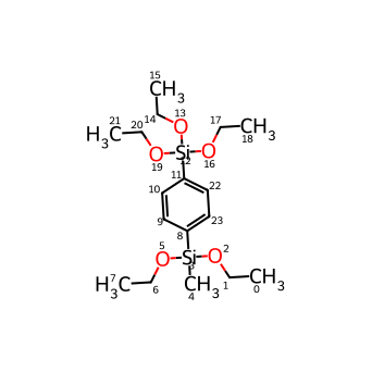 CCO[Si](C)(OCC)c1ccc([Si](OCC)(OCC)OCC)cc1